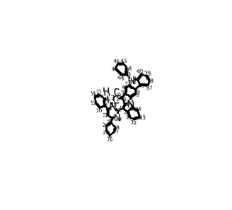 CC1(C)c2cc3c(cc2-n2c1c(-c1nc(-c4ccccc4)cc(-c4ccccc4)n1)c1ccccc12)c1ccccc1n3-c1ccccc1